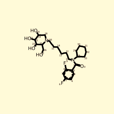 O=C(c1ccc(F)cc1F)N(CCCCCCN1CC(O)C(O)C(O)C1CO)C1CCCCC1